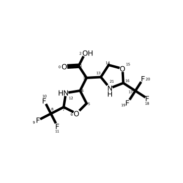 O=C(O)C(C1COC(C(F)(F)F)N1)C1COC(C(F)(F)F)N1